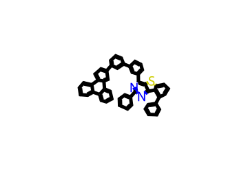 c1ccc(-c2nc(-c3cccc(-c4cccc(-c5ccc6c7ccccc7c7ccccc7c6c5)c4)c3)c3sc4cccc(-c5ccccc5)c4c3n2)cc1